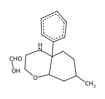 CC1CCC2(c3ccccc3)NCCOC2C1.O=CO